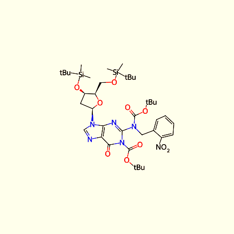 CC(C)(C)OC(=O)N(Cc1ccccc1[N+](=O)[O-])c1nc2c(ncn2[C@H]2C[C@@H](O[Si](C)(C)C(C)(C)C)[C@@H](CO[Si](C)(C)C(C)(C)C)O2)c(=O)n1C(=O)OC(C)(C)C